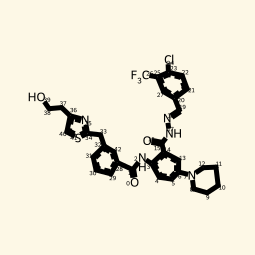 O=C(Nc1ccc(N2CCCCC2)cc1C(=O)NN=Cc1ccc(Cl)c(C(F)(F)F)c1)c1cccc(Cc2nc(CCO)cs2)c1